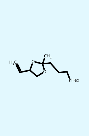 C=CC1COC(C)(CCCCCCCCC)O1